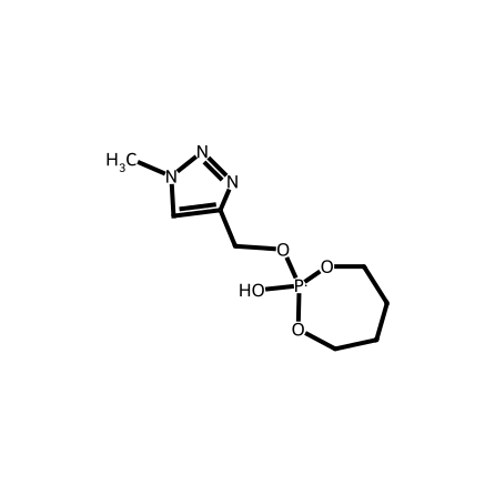 Cn1cc(CO[P]2(O)OCCCCO2)nn1